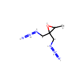 CCC1OC1(CN=[N+]=[N-])CN=[N+]=[N-]